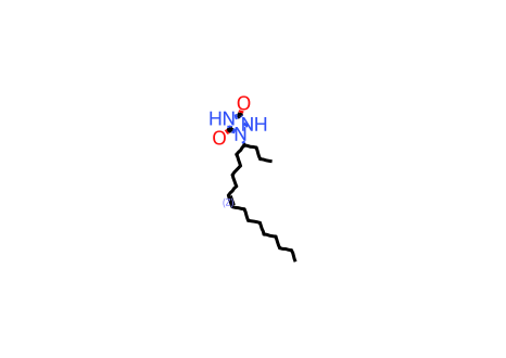 CCCCCCCC/C=C\CCCCC(CCC)n1[nH]c(=O)[nH]c1=O